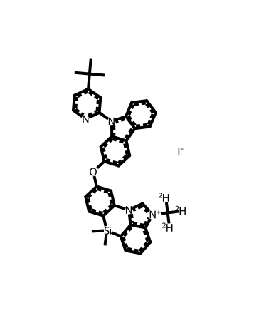 [2H]C([2H])([2H])[n+]1cn2c3c(cccc31)[Si](C)(C)c1ccc(Oc3ccc4c5ccccc5n(-c5cc(C(C)(C)C)ccn5)c4c3)cc1-2.[I-]